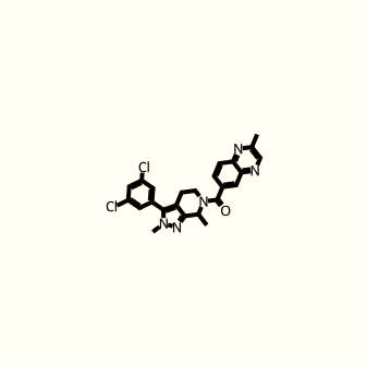 Cc1cnc2cc(C(=O)N3CCc4c(nn(C)c4-c4cc(Cl)cc(Cl)c4)C3C)ccc2n1